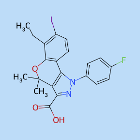 CCc1c(I)ccc2c1OC(C)(C)c1c(C(=O)O)nn(-c3ccc(F)cc3)c1-2